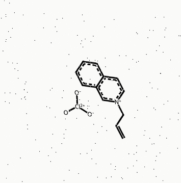 C=CC[n+]1ccc2ccccc2c1.[O-][Cl+2]([O-])[O-]